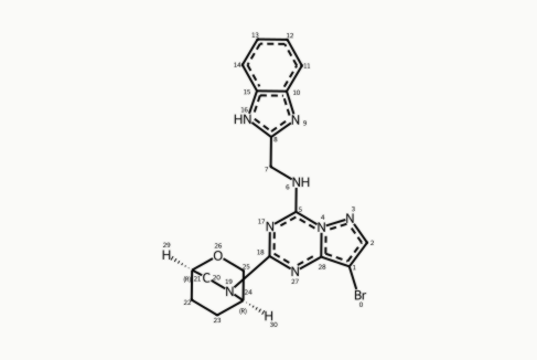 Brc1cnn2c(NCc3nc4ccccc4[nH]3)nc(N3C[C@H]4CC[C@@H]3CO4)nc12